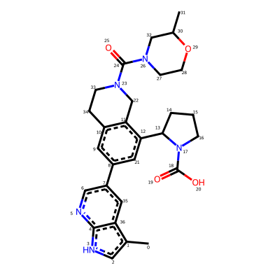 Cc1c[nH]c2ncc(-c3cc4c(c(C5CCCN5C(=O)O)c3)CN(C(=O)N3CCOC(C)C3)CC4)cc12